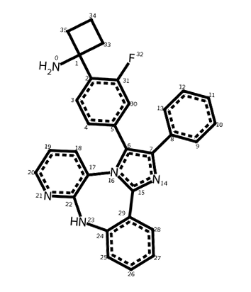 NC1(c2ccc(-c3c(-c4ccccc4)nc4n3-c3cccnc3Nc3ccccc3-4)cc2F)CCC1